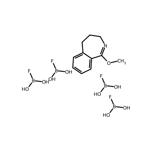 COC1=NCCCc2ccccc21.OB(O)F.OB(O)F.OB(O)F.OB(O)F